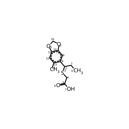 CCC(SCC(=O)O)c1cc2c(cc1C)OCO2